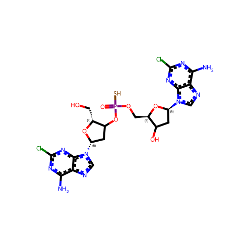 Nc1nc(Cl)nc2c1ncn2[C@H]1CC(O)[C@@H](COP(=O)(S)OC2C[C@H](n3cnc4c(N)nc(Cl)nc43)O[C@@H]2CO)O1